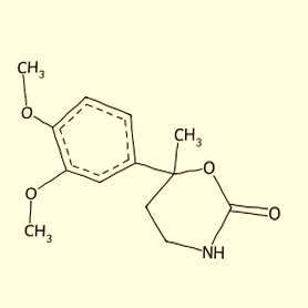 COc1ccc(C2(C)CCNC(=O)O2)cc1OC